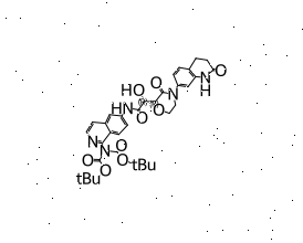 CC(C)(C)OC(=O)N(C(=O)OC(C)(C)C)c1nccc2cc(NC(=O)[C@H](O)[C@H]3OCCN(c4ccc5c(c4)NC(=O)CC5)C3=O)ccc12